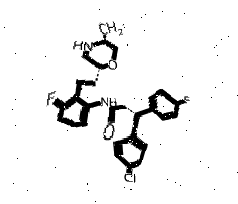 [CH2][C@H]1CO[C@H](CCc2c(F)cccc2NC(=O)C[C@H](c2ccc(F)cc2)c2ccc(Cl)cc2)CN1